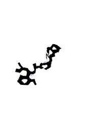 C=C(/C=C(\CC)c1cc2ccccc2cn1)C(=C)/C=C(\CC(C)CC)c1ccccc1CC